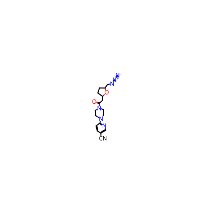 N#Cc1ccc(N2CCN(C(=O)CC3CCC(CN=[N+]=[N-])O3)CC2)nc1